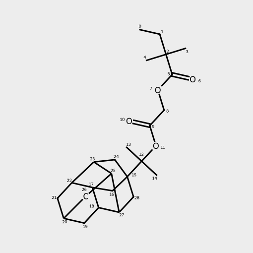 CCC(C)(C)C(=O)OCC(=O)OC(C)(C)C12CC3C4CC5CC3C(C1)C(C5)C4C2